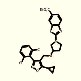 CCOC(=O)c1ccc2nc(N3CCC(NCc4c(-c5c(Cl)cccc5Cl)noc4C4CC4)C3)sc2c1